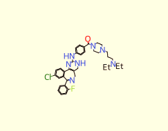 CCN(CC)CCCN1CCN(C(=O)c2ccc(NC3=NC4=C(CN=C(c5ccccc5F)c5cc(Cl)ccc54)CN3)cc2)CC1